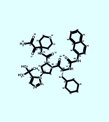 CC(C)(O)c1cnnn1[C@H]1C[C@@H](C(=O)NC2(C(=O)C(N)=O)CCOCC2)N(C(=O)[C@@H](CC2CCCCC2)NC(=O)Nc2ccc3ccccc3c2)C1